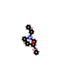 c1ccc(-c2nc(-c3ccc4oc5ccccc5c4c3)nc(-c3cccc4sc5ccc(-c6cccc(-c7nc8ccccc8o7)c6)cc5c34)n2)cc1